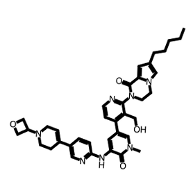 CCCCCc1cc2n(c1)CCN(c1nccc(-c3cc(Nc4ccc(C5=CCN(C6COC6)CC5)cn4)c(=O)n(C)c3)c1CO)C2=O